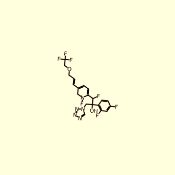 OC(Cn1cnnn1)(c1ccc(F)cc1F)C(F)C1=CC=C(/C=C/COCC(F)(F)F)CN1F